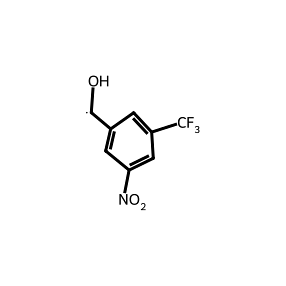 O=[N+]([O-])c1cc([CH]O)cc(C(F)(F)F)c1